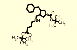 CC(C)(C)OC(=O)CCCNCC1CN(C(=O)OC(C)(C)C)CC1CC1CCCCC1